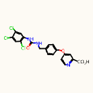 O=C(NCc1ccc(Oc2ccnc(C(=O)O)c2)cc1)Nc1cc(Cl)c(Cl)cc1Cl